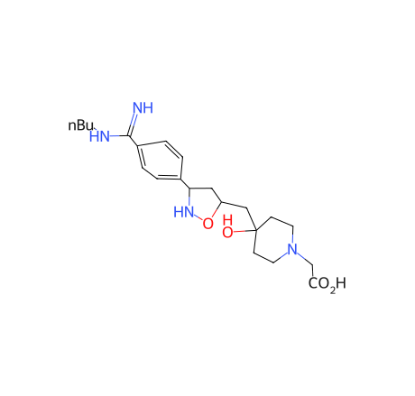 CCCCNC(=N)c1ccc(C2CC(CC3(O)CCN(CC(=O)O)CC3)ON2)cc1